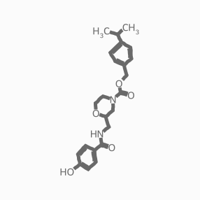 CC(C)c1ccc(COC(=O)N2CCOC(CNC(=O)c3ccc(O)cc3)C2)cc1